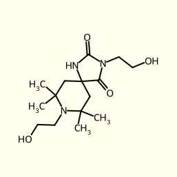 CC1(C)CC2(CC(C)(C)N1CCO)NC(=O)N(CCO)C2=O